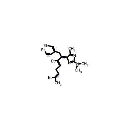 CC/C=C\C(=C/CC)C/C(C(=CC/C=C(/C)CC)CC)=C1/N=C(N(C)C)N=C1C